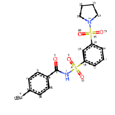 CC(C)(C)c1ccc(C(=O)NS(=O)(=O)c2cccc(S(=O)(=O)N3CCCC3)c2)cc1